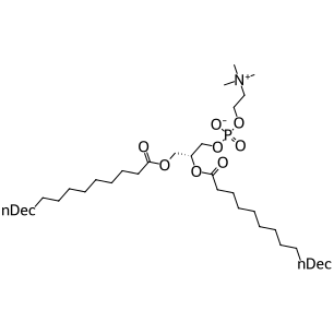 CCCCCCCCCCCCCCCCCCC(=O)OC[C@H](COP(=O)([O-])OCC[N+](C)(C)C)OC(=O)CCCCCCCCCCCCCCCCCC